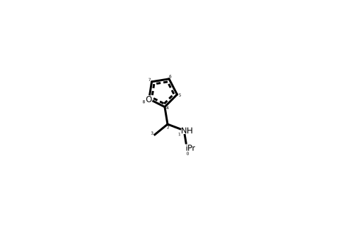 CC(C)NC(C)c1ccco1